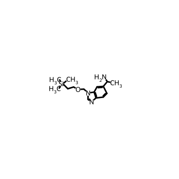 CC(N)c1ccc2ncn(COCC[Si](C)(C)C)c2c1